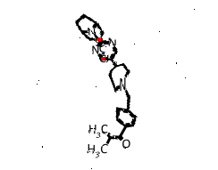 CCN1CC2CCC(C1)N2c1ncc(C2CCN(Cc3ccc(C(=O)C(C)C)cc3)CC2)cn1